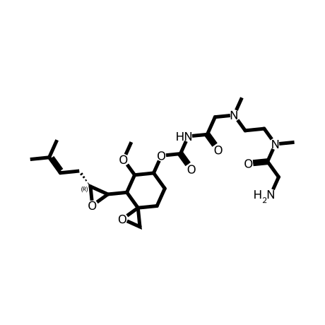 COC1C(OC(=O)NC(=O)CN(C)CCN(C)C(=O)CN)CCC2(CO2)C1C1O[C@@H]1CC=C(C)C